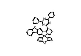 c1ccc(-c2nc(-c3ccccc3)nc(-c3cccc4c3-c3cc5sc6ccccc6c5cc3C43c4ccccc4Oc4ccccc43)n2)cc1